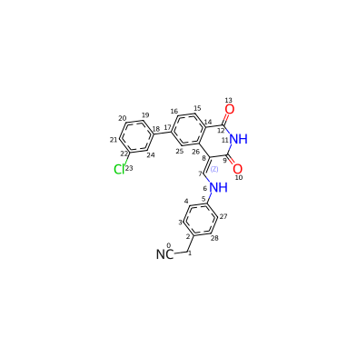 N#CCc1ccc(N/C=C2\C(=O)NC(=O)c3ccc(-c4cccc(Cl)c4)cc32)cc1